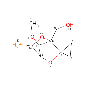 COC1C2OC3(CC3)C1(CO)OC2P